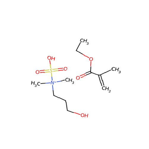 C=C(C)C(=O)OCC.C[N+](C)(CCCO)S(=O)(=O)O